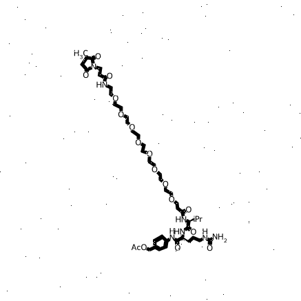 CC(=O)OCc1ccc(NC(=O)[C@H](CCCNC(N)=O)NC(=O)[C@@H](NC(=O)CCOCCOCCOCCOCCOCCOCCOCCOCCNC(=O)CCN2C(=O)CC(C)C2=O)C(C)C)cc1